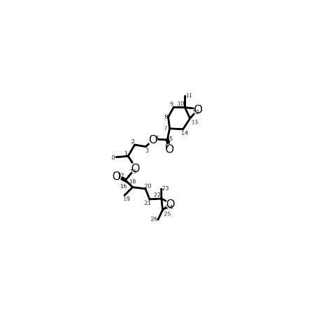 CC(CCOC(=O)C1CCC2(C)OC2C1)OC(=O)C(C)CCC1(C)OC1C